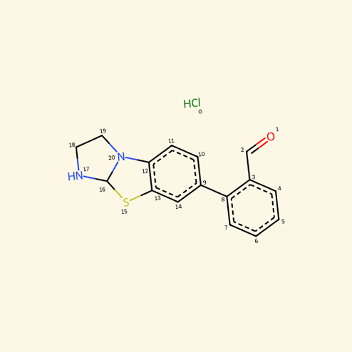 Cl.O=Cc1ccccc1-c1ccc2c(c1)SC1NCCN21